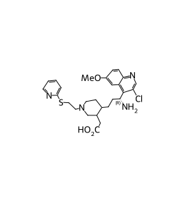 COc1ccc2ncc(Cl)c([C@H](N)CCC3CCN(CCSc4ccccn4)CC3CC(=O)O)c2c1